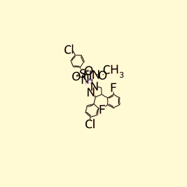 CON/C(=N\S(=O)(=O)c1ccc(Cl)cc1)N1CC(c2c(F)cccc2F)C(c2ccc(Cl)cc2)=N1